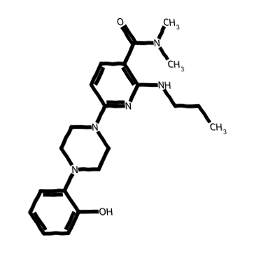 CCCNc1nc(N2CCN(c3ccccc3O)CC2)ccc1C(=O)N(C)C